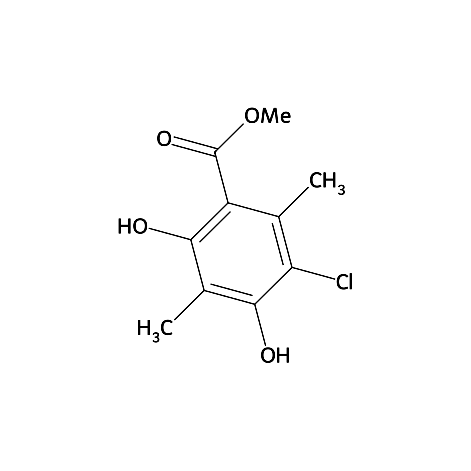 COC(=O)c1c(C)c(Cl)c(O)c(C)c1O